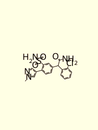 Cn1cc(-c2ccc(C(C(N)=O)c3ccccc3Cl)cc2S(N)(=O)=O)cn1